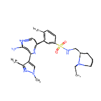 CCN1CCC[C@@H]1CNS(=O)(=O)c1ccc(C)c(-c2cnc(N)c(-c3cn(C)nc3C)n2)c1